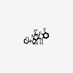 CSc1nc(Nc2cccc(F)c2F)c2ncn(C3CCCO3)c2n1